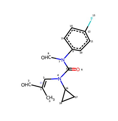 C/C(C=O)=C\N(C(=O)N(C=O)c1ccc(F)cc1)C1CC1